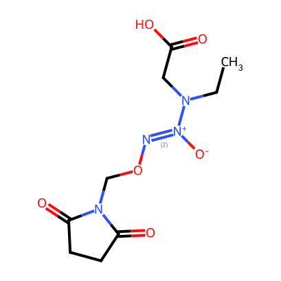 CCN(CC(=O)O)/[N+]([O-])=N/OCN1C(=O)CCC1=O